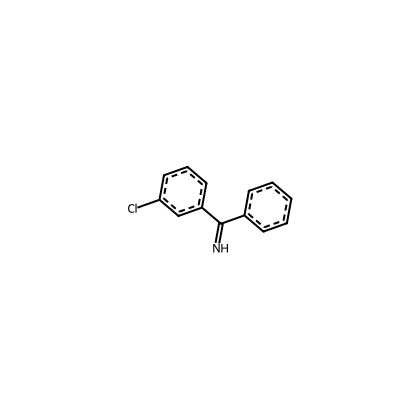 N=C(c1ccccc1)c1cccc(Cl)c1